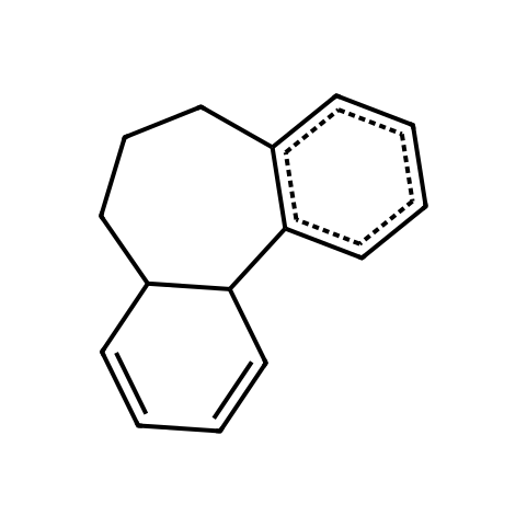 C1=CC2CCCc3ccccc3C2C=C1